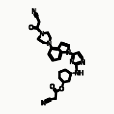 N#CCC(=O)O[C@H]1CCC[C@H](Nc2nccc(-n3ccc4c(N5CCN(C(=O)CC#N)CC5)cccc43)n2)C1